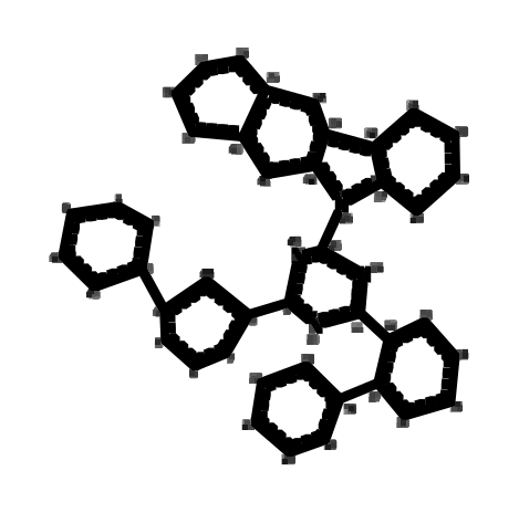 c1ccc(-c2cccc(-c3nc(-c4ccccc4-c4ccccc4)nc(-n4c5ccccc5c5cc6ccccc6cc54)n3)c2)cc1